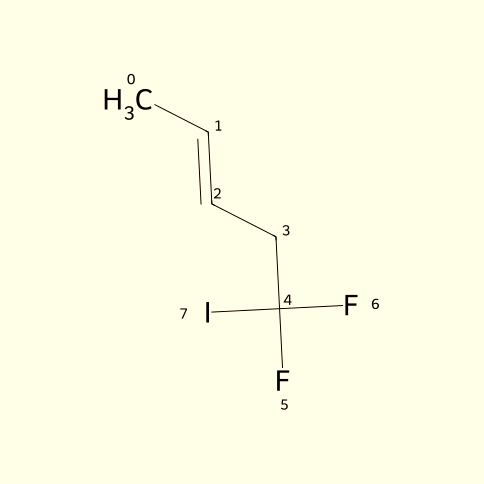 C/C=C/CC(F)(F)I